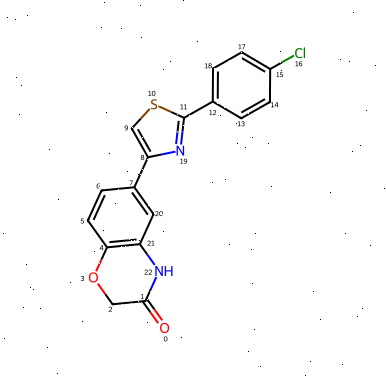 O=C1COc2ccc(-c3csc(-c4ccc(Cl)cc4)n3)cc2N1